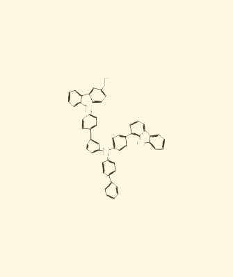 Fc1ccc2c(c1)c1ccccc1n2-c1ccc(-c2cccc(N(c3ccc(-c4ccccc4)cc3)c3ccc(-c4cccc5c4oc4ccccc45)cc3)c2)cc1